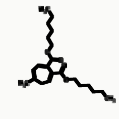 CCCCCCOC(=O)C1=CC=C(C)CC=C1C(=O)OCCCCCC